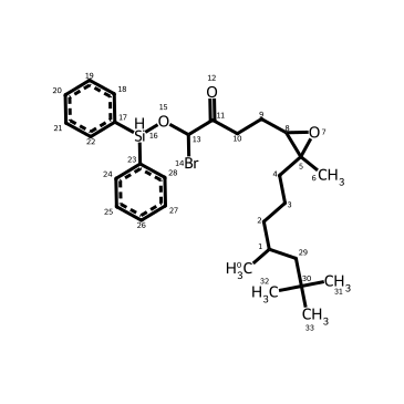 CC(CCCC1(C)OC1CCC(=O)C(Br)O[SiH](c1ccccc1)c1ccccc1)CC(C)(C)C